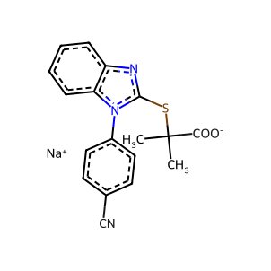 CC(C)(Sc1nc2ccccc2n1-c1ccc(C#N)cc1)C(=O)[O-].[Na+]